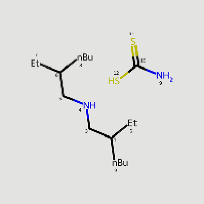 CCCCC(CC)CNCC(CC)CCCC.NC(=S)S